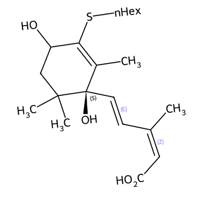 CCCCCCSC1=C(C)[C@](O)(/C=C/C(C)=C\C(=O)O)C(C)(C)CC1O